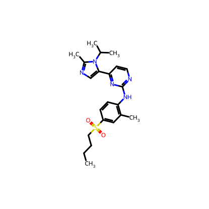 CCCCS(=O)(=O)c1ccc(Nc2nccc(-c3cnc(C)n3C(C)C)n2)c(C)c1